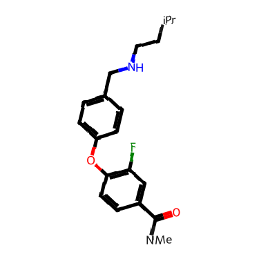 CNC(=O)c1ccc(Oc2ccc(CNCCC(C)C)cc2)c(F)c1